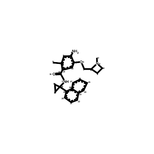 Cc1cc(N)c(OCC2CCN2C)cc1C(=O)NC1(c2cccc3ccccc23)CC1